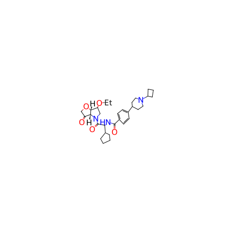 CCO[C@H]1CN(C(=O)[C@@H](NC(=O)c2ccc(C3CCN(C4CCC4)CC3)cc2)C2CCCC2)[C@@H]2C(=O)CO[C@H]12